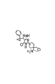 NC1COCC12CCN(c1nc3[nH]nc(C4(c5ccccc5)CC4)c3c(=O)[nH]1)CC2